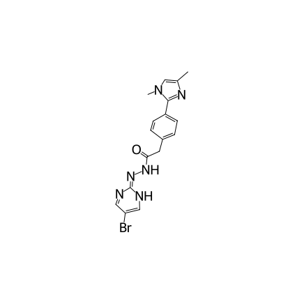 Cc1cn(C)c(-c2ccc(CC(=O)NN=c3ncc(Br)c[nH]3)cc2)n1